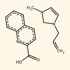 C=CCN1C=CN(C)C1.O=C(O)c1ccc2ccccc2n1